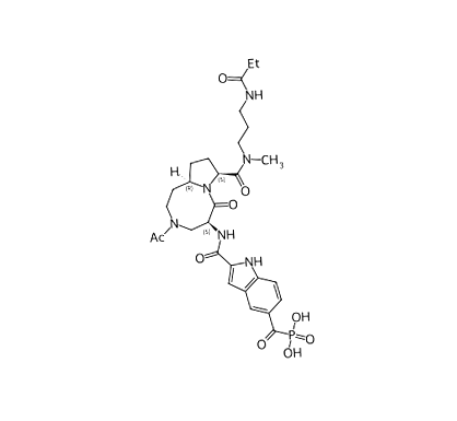 CCC(=O)NCCCN(C)C(=O)[C@@H]1CC[C@@H]2CCN(C(C)=O)C[C@H](NC(=O)c3cc4cc(C(=O)P(=O)(O)O)ccc4[nH]3)C(=O)N21